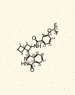 O=C(NC1CC2(CCC2)C1c1n[nH]c(=O)c2ccccc12)c1cccc(OC(F)F)c1